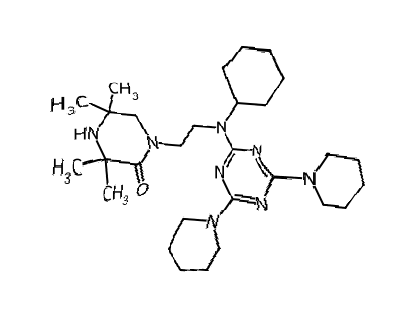 CC1(C)CN(CCN(c2nc(N3CCCCC3)nc(N3CCCCC3)n2)C2CCCCC2)C(=O)C(C)(C)N1